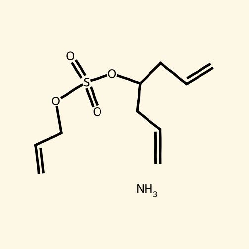 C=CCOS(=O)(=O)OC(CC=C)CC=C.N